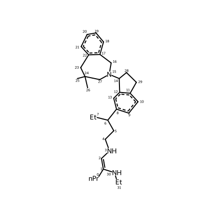 CCC/C(=C/NCCC(CC)c1ccc2c(c1)C(N1Cc3ccccc3CC(C)(C)C1)CC2)NCC